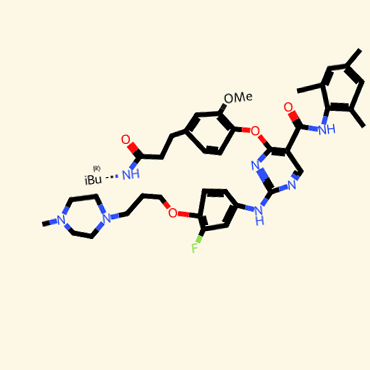 CC[C@@H](C)NC(=O)CCc1ccc(Oc2nc(Nc3ccc(OCCCN4CCN(C)CC4)c(F)c3)ncc2C(=O)Nc2c(C)cc(C)cc2C)c(OC)c1